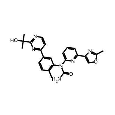 Cc1nc(-c2cccc(N(C(N)=O)c3cc(-c4ccnc(C(C)(C)O)n4)ccc3C)n2)co1